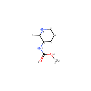 [CH2]C1NCCCC1NC(=O)OC(C)(C)C